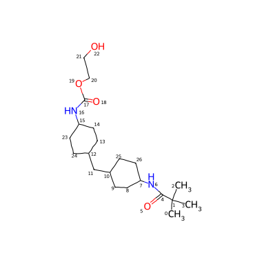 CC(C)(C)C(=O)NC1CCC(CC2CCC(NC(=O)OCCO)CC2)CC1